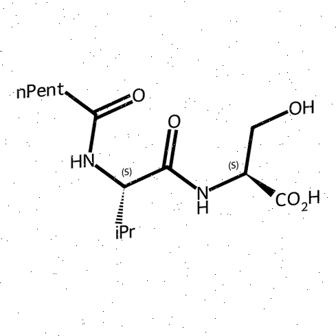 CCCCCC(=O)N[C@H](C(=O)N[C@@H](CO)C(=O)O)C(C)C